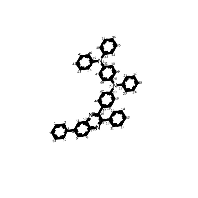 c1ccc(-c2ccc3nc(-c4ccccc4)c(-c4ccc(N(c5ccccc5)c5ccc(N(c6ccccc6)c6ccccc6)cc5)cc4)nc3c2)cc1